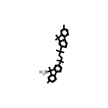 BC1(C)c2cc(C)ccc2-c2ccc(C(C)(C)CCC(C)(C)c3ccc4c(c3)C(C)(C)c3cc(C)ccc3-4)cc21